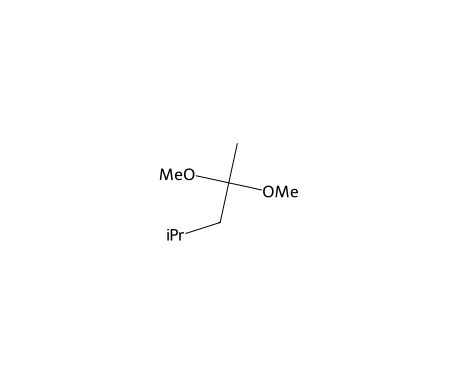 COC(C)(CC(C)C)OC